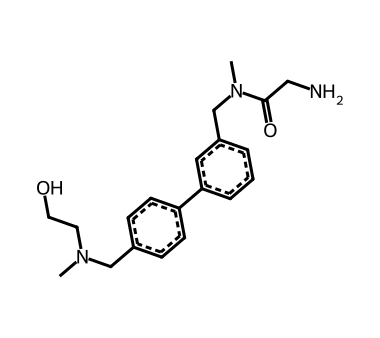 CN(CCO)Cc1ccc(-c2cccc(CN(C)C(=O)CN)c2)cc1